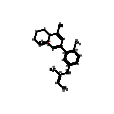 C=N/C=C(\C=C(\C#N)C1CCCCC1)c1cc(N/C(C)=C\C)ccc1C